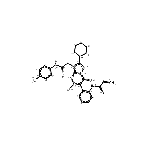 C=CC(=O)Nc1ccccc1-c1c(CC)nc2n(CC(=O)Nc3ccc(C(F)(F)F)cc3)c(C3CCCCC3)nn2c1=O